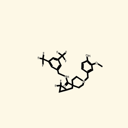 COc1cc(CN2CCC(CC3CC3(F)F)(C(=O)NCc3cc(C(F)(F)F)cc(C(F)(F)F)c3)CC2)ccc1O